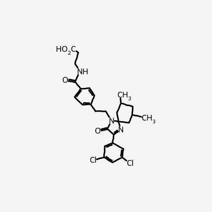 CC1CC(C)CC2(C1)N=C(c1cc(Cl)cc(Cl)c1)C(=O)N2CCc1ccc(C(=O)NCCC(=O)O)cc1